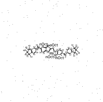 CCCCCCCCC1(CCCCCCCC)c2cc(N(C)c3ccc4c(c3)C(C)(C)C(C)(C)C4(C)C)ccc2-c2cc3c(cc21)-c1ccc(N(C)c2ccc4c(c2)C(C)(C)C(C)(C)C4(C)C)cc1C3(CCCCCCCC)CCCCCCCC